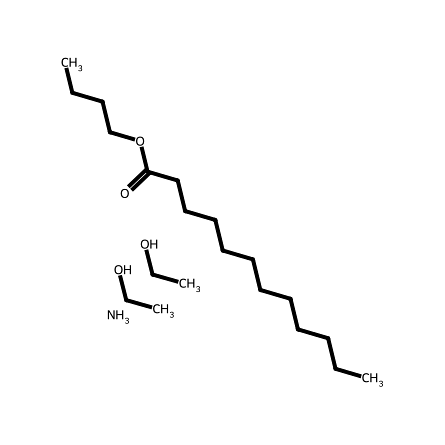 CCCCCCCCCCCC(=O)OCCCC.CCO.CCO.N